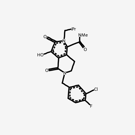 CNC(=O)c1c2c(c(O)c(=O)n1CC(C)C)C(=O)N(Cc1ccc(F)c(Cl)c1)CC2